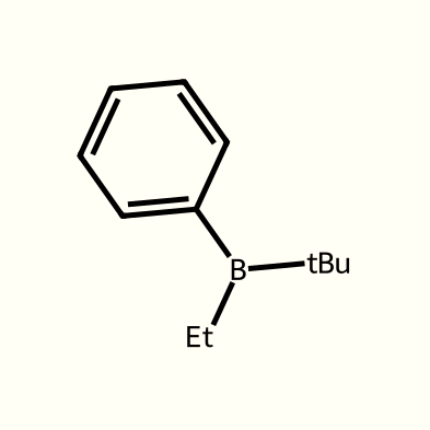 CCB(c1ccccc1)C(C)(C)C